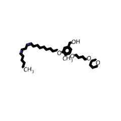 CCCCC/C=C\C/C=C\CCCCCCCCOc1cc(CO)cc(OCCCCOC2CCCOC2)c1C